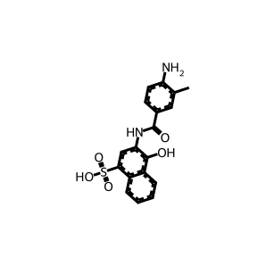 Cc1cc(C(=O)Nc2cc(S(=O)(=O)O)c3ccccc3c2O)ccc1N